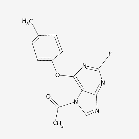 CC(=O)n1cnc2nc(F)nc(Oc3ccc(C)cc3)c21